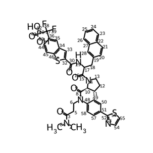 CN(C)C(=O)CCN(C(=O)[C@@H]1CCCN1C(=O)C(Cc1ccc2ccccc2c1)NC(=O)c1cc2cc(C(F)(F)P(=O)(O)O)ccc2s1)c1ccc(-c2nccs2)cc1